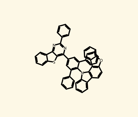 c1ccc(-c2nc(-c3cc(-c4ccccc4)c(-n4c5ccccc5c5ccc6oc7ccccc7c6c54)c(-c4ccccc4)c3)c3sc4ccccc4c3n2)cc1